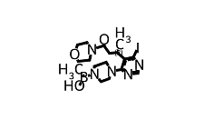 CB(O)N1CCN(c2ncnc(I)c2[C@H](C)CC(=O)N2CCOCC2)CC1